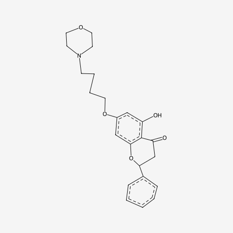 O=C1CC(c2ccccc2)Oc2cc(OCCCCN3CCOCC3)cc(O)c21